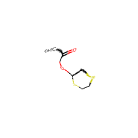 O=CC(=O)OC1CSCCS1